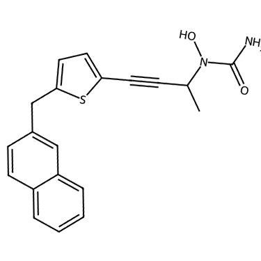 CC(C#Cc1ccc(Cc2ccc3ccccc3c2)s1)N(O)C(N)=O